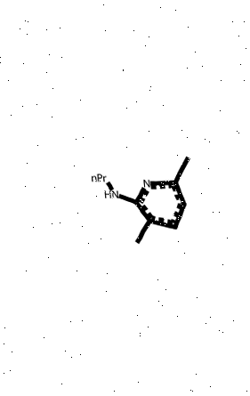 CCCNc1nc(C)ccc1C